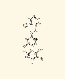 Cc1[nH]c(C)c(-c2c[nH]c(OCc3ccccc3C(F)(F)F)cc2=O)c(=O)c1Br